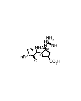 CCCN(CCC)C(=O)C(NC(C)=O)[C@@H]1CC(C(=O)O)C[C@@H]1NC(=N)N